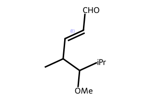 COC(C(C)C)C(C)/C=C/C=O